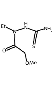 CCN(NC(N)=S)C(=O)COC